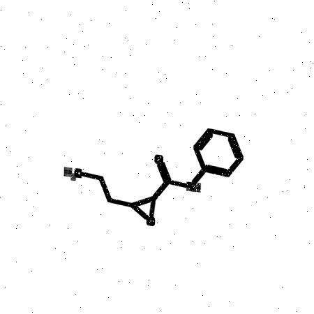 CCCC1OC1C(=O)Nc1ccccc1